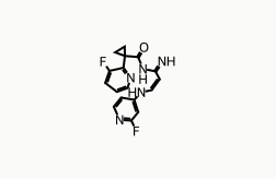 N=C(/C=C\Nc1ccnc(F)c1)NC(=O)C1(c2ncccc2F)CC1